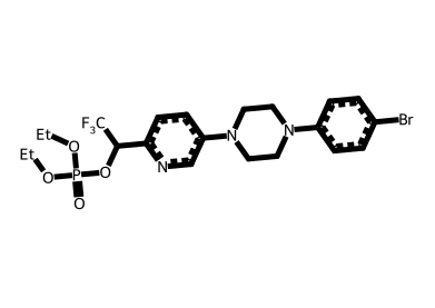 CCOP(=O)(OCC)OC(c1ccc(N2CCN(c3ccc(Br)cc3)CC2)cn1)C(F)(F)F